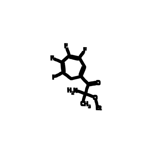 CCOC(C)(N)C(=O)C1=CC(F)=C(F)C(F)=C(F)C1